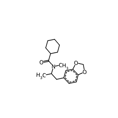 CC(Cc1ccc2c(c1)OCO2)N(C)C(=O)C1CCCCC1